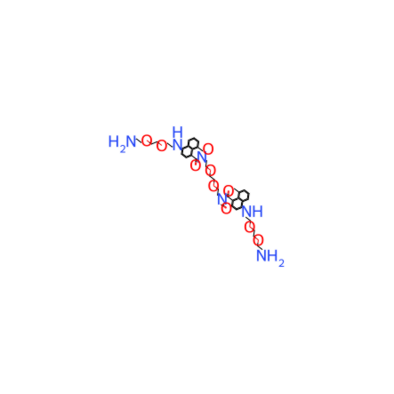 Cc1cccc2c(NCCOCCOCCN)ccc(C(=O)N(C=O)CCOCCOCCN3C(=O)c4cccc5c(NCCOCCOCCN)ccc(c45)C3=O)c12